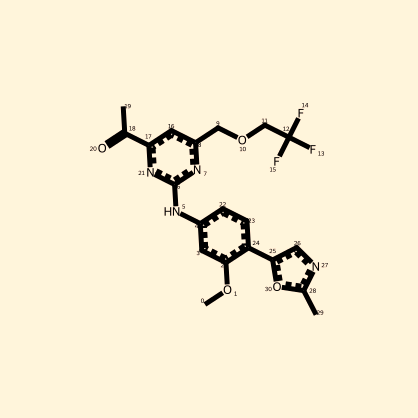 COc1cc(Nc2nc(COCC(F)(F)F)cc(C(C)=O)n2)ccc1-c1cnc(C)o1